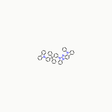 c1ccc(-n2c3ccccc3c3ccc4c(nc5n(-c6cccc([Si](c7ccccc7)(c7ccccc7)c7cccc(-n8c9ccccc9c9ccccc98)c7)c6)c6ccccc6n45)c32)cc1